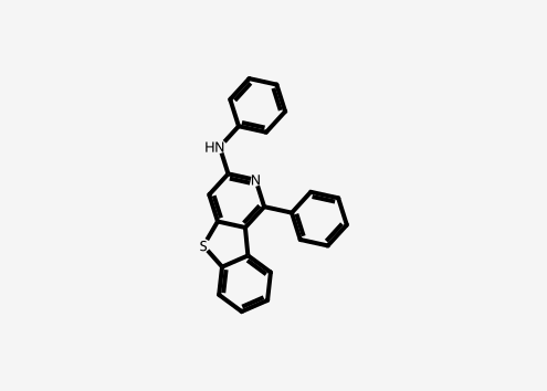 c1ccc(Nc2cc3sc4ccccc4c3c(-c3ccccc3)n2)cc1